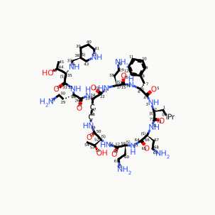 CC(C)C[C@@H]1NC(=O)[C@@H](Cc2ccccc2)NC(=O)[C@H](CCN)NC(=O)[C@@H](NC(=O)[C@H](CCN)NC(=O)[C@@H](NC[C@H]2CCCNC2)C(C)O)CCNC(=O)[C@H](C(C)O)NC(=O)[C@H](CCN)NC(=O)[C@H](CCN)NC1=O